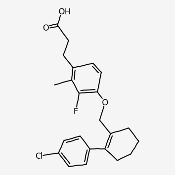 Cc1c(CCC(=O)O)ccc(OCC2=C(c3ccc(Cl)cc3)CCCC2)c1F